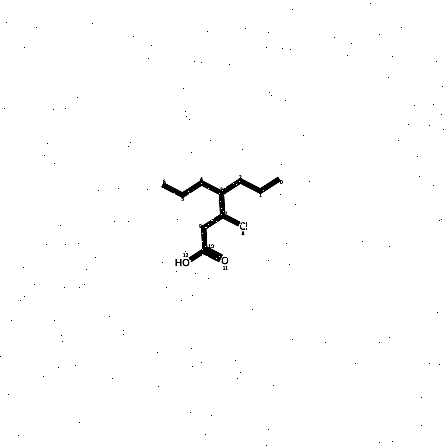 CCCC(CCC)C(Cl)CC(=O)O